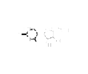 O=c1[nH]c(=S)[nH]cc1[C@@H]1O[C@H](CO)C(O)[C@@H]1O